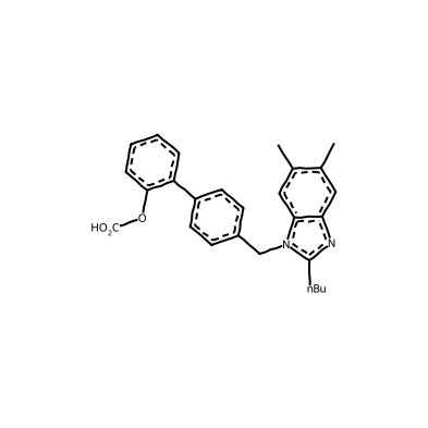 CCCCc1nc2cc(C)c(C)cc2n1Cc1ccc(-c2ccccc2OC(=O)O)cc1